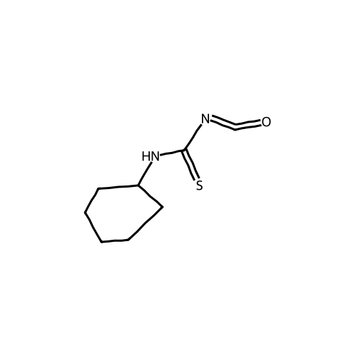 O=C=NC(=S)NC1CCCCC1